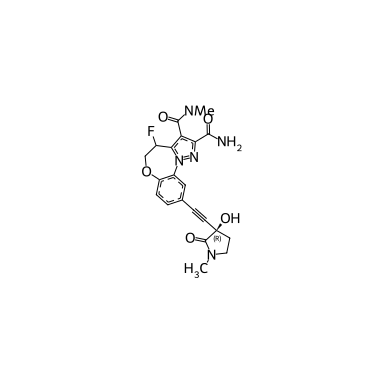 CNC(=O)c1c(C(N)=O)nn2c1C(F)COc1ccc(C#C[C@]3(O)CCN(C)C3=O)cc1-2